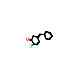 O=C1CC(=Cc2ccccc2)C=CC1Cl